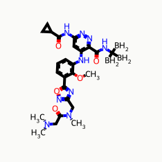 BC(B)(B)NC(=O)c1nnc(NC(=O)C2CC2)cc1Nc1cccc(-c2nc(CN(C)C(=O)CN(C)C)no2)c1OC